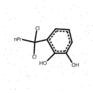 CCCC(Cl)(Cl)c1cccc(O)c1O